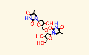 Cc1cn([C@@H]2O[C@H](CO)C(O)[C@@H]2OC[C@H]2O[C@@H](n3cc(C)c(=O)[nH]c3=O)CC2O)c(=O)[nH]c1=O